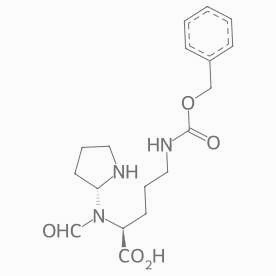 O=CN([C@@H]1CCCN1)[C@@H](CCCNC(=O)OCc1ccccc1)C(=O)O